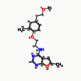 CCOCCc1ccc(OCCNc2ncnc3oc(C)cc23)c(C)c1